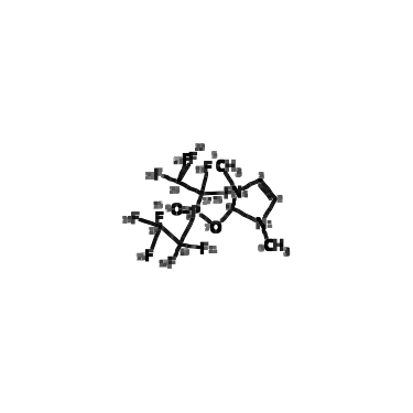 CN1C=CN(C)C1OP(=O)(C(F)(F)C(F)(F)F)C(F)(F)C(F)(F)F